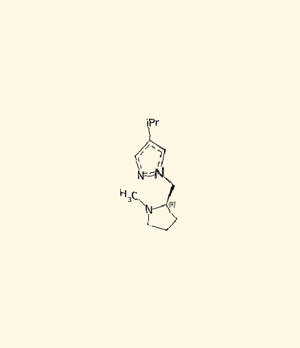 CC(C)c1cnn(C[C@H]2CCCN2C)c1